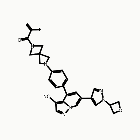 C=C(F)C(=O)N1CC2(C1)CN(c1ccc(-c3cc(-c4cnn(C5COC5)c4)cn4ncc(C#N)c34)cc1)C2